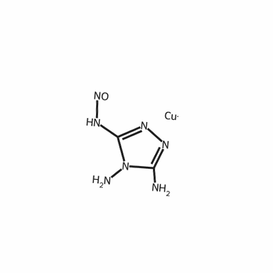 Nc1nnc(NN=O)n1N.[Cu]